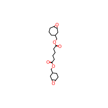 O=C(CCCCC(=O)OCC1CCC2OC2C1)OCC1CCCC2OC2C1